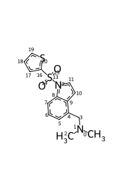 CN(C)Cc1cccc2c1ccn2S(=O)(=O)c1cccs1